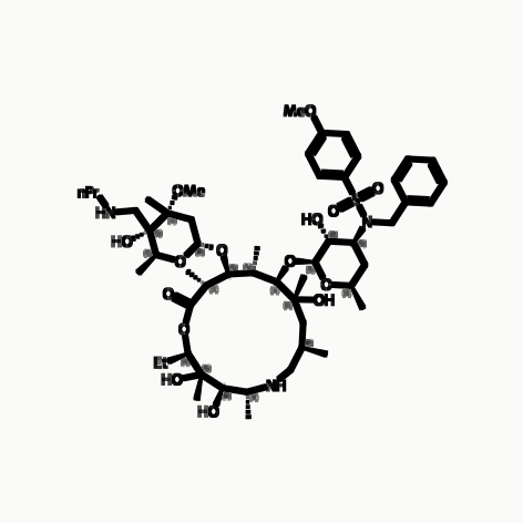 CCCNC[C@]1(O)[C@H](C)O[C@@H](O[C@H]2[C@H](C)[C@@H](O[C@@H]3O[C@H](C)C[C@H](N(Cc4ccccc4)S(=O)(=O)c4ccc(OC)cc4)[C@H]3O)[C@](C)(O)C[C@@H](C)CN[C@H](C)[C@@H](O)[C@](C)(O)[C@@H](CC)OC(=O)[C@@H]2C)C[C@@]1(C)OC